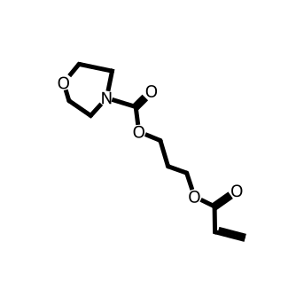 C=CC(=O)OCCCOC(=O)N1CCOCC1